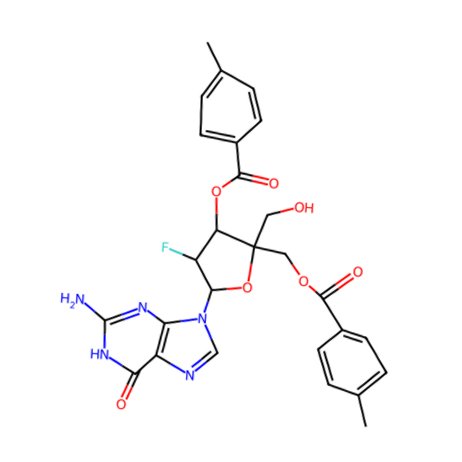 Cc1ccc(C(=O)OCC2(CO)OC(n3cnc4c(=O)[nH]c(N)nc43)C(F)C2OC(=O)c2ccc(C)cc2)cc1